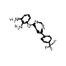 Nc1cccc(Oc2cc(-c3ccc(C(F)(F)F)cc3)ncn2)c1N